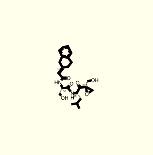 CC(C)C[C@H](NC(=O)[C@H](CO)NC(=O)/C=C1\CCc2ccccc2C1)C(=O)[C@@]1(CO)CO1